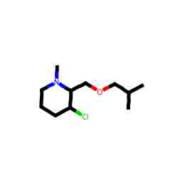 CC(C)COCC1C(Cl)CCCN1C